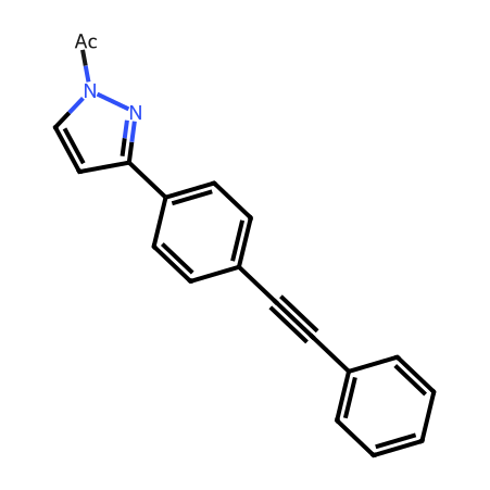 CC(=O)n1ccc(-c2ccc(C#Cc3ccccc3)cc2)n1